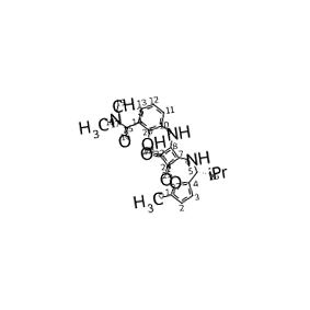 Cc1ccc([C@H](Nc2c(Nc3cccc(C(=O)N(C)C)c3O)c(=O)c2=O)C(C)C)o1